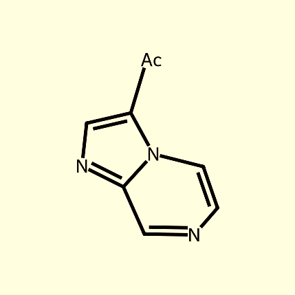 CC(=O)c1cnc2cnccn12